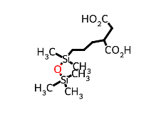 C[Si](C)(C)O[Si](C)(C)CCCC(CC(=O)O)C(=O)O